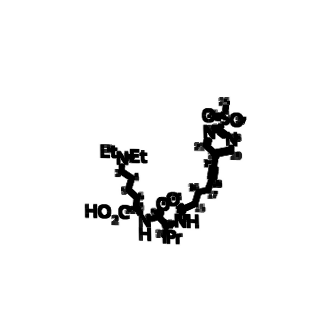 CCN(CC)CCCC[C@H](NC(=O)[C@@H](NC(=O)CCCC#Cc1cnc(S(C)(=O)=O)nc1)C(C)C)C(=O)O